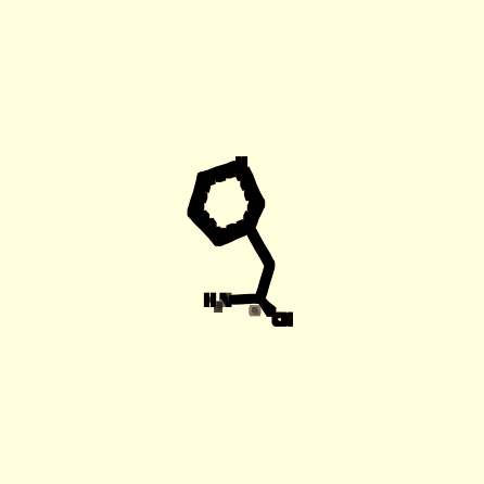 N#C[C@@H](N)Cc1cccnc1